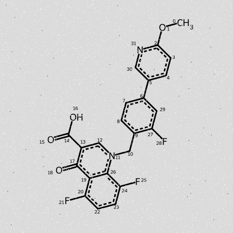 COc1ccc(-c2ccc(Cn3cc(C(=O)O)c(=O)c4c(F)ccc(F)c43)c(F)c2)cn1